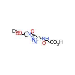 CCOOCC1CCN(C(=O)[C@H](CCCCNC(=O)CCC(=O)O)N=[N+]=[N-])CC1